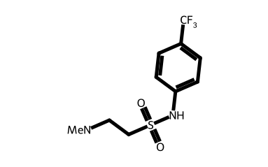 CNCCS(=O)(=O)Nc1ccc(C(F)(F)F)cc1